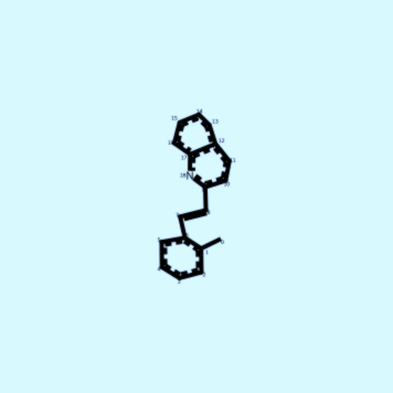 Cc1ccccc1C=Cc1ccc2ccccc2n1